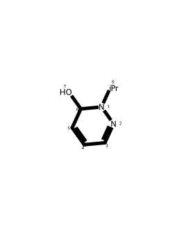 CC(C)N1N=CC=CC1O